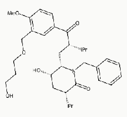 COc1ccc(C(=O)[C@@H](C[C@H]2[C@@H](O)C[C@@H](C(C)C)C(=O)N2Cc2ccccc2)C(C)C)cc1COCCCO